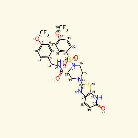 O=C(NCc1ccc(OC(F)(F)F)cc1)[C@H]1CN(c2nc3ccc(=O)[nH]c3s2)CCN1S(=O)(=O)c1ccc(OC(F)(F)F)cc1